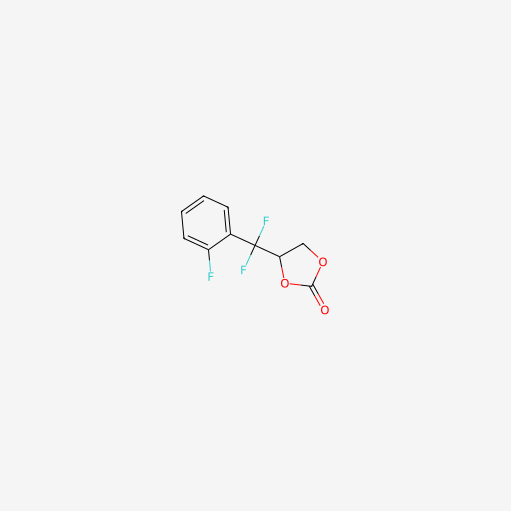 O=C1OCC(C(F)(F)c2ccccc2F)O1